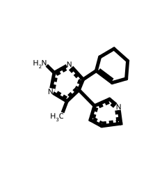 Cc1nc(N)nc(C2=CCCCC2)c1-c1cccnc1